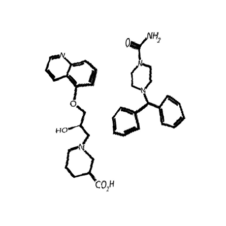 NC(=O)N1CCN(C(c2ccccc2)c2ccccc2)CC1.O=C(O)C1CCCN(C[C@@H](O)COc2cccc3ncccc23)C1